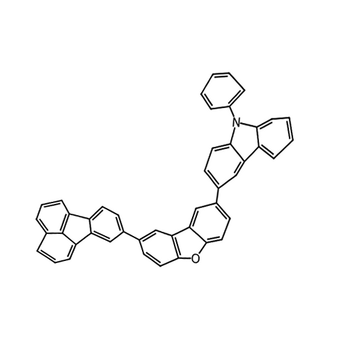 c1ccc(-n2c3ccccc3c3cc(-c4ccc5oc6ccc(-c7ccc8c(c7)-c7cccc9cccc-8c79)cc6c5c4)ccc32)cc1